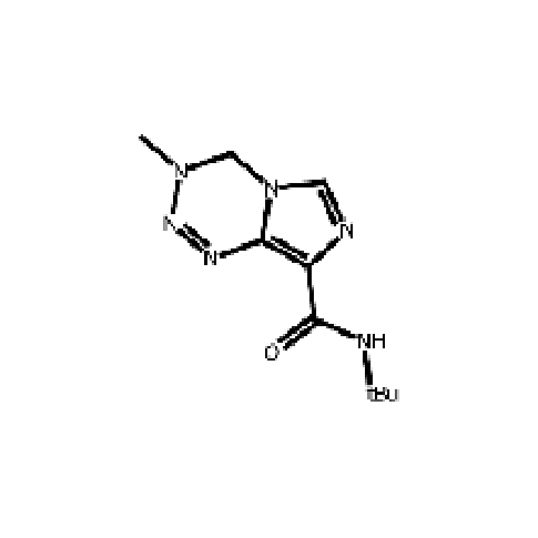 CN1Cn2cnc(C(=O)NC(C)(C)C)c2N=N1